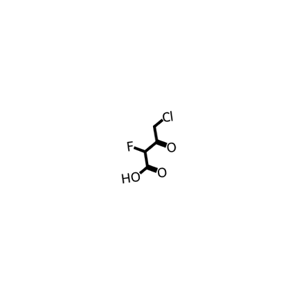 O=C(O)C(F)C(=O)CCl